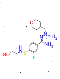 N/C(=N\N(N)CC1CCOCC1)c1ccc(SNCCO)c(F)c1